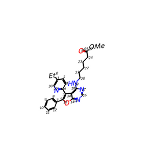 CCc1ccc(-c2c(-c3ccccc3)oc3ncnc(NCCCCCC(=O)OC)c23)nc1